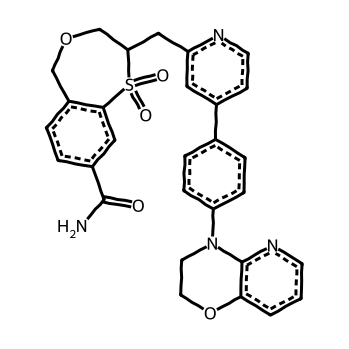 NC(=O)c1ccc2c(c1)S(=O)(=O)C(Cc1cc(-c3ccc(N4CCOc5cccnc54)cc3)ccn1)COC2